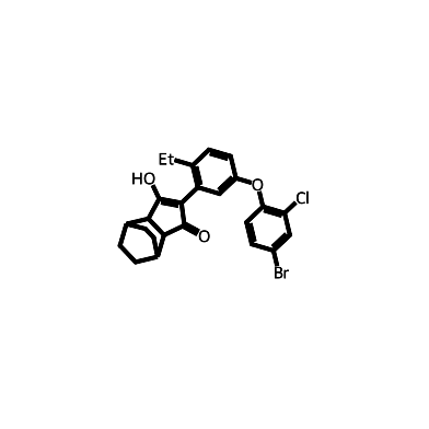 CCc1ccc(Oc2ccc(Br)cc2Cl)cc1C1=C(O)C2C3CCC(CC3)C2C1=O